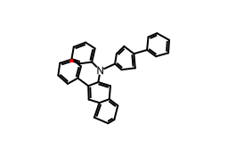 c1ccc(-c2ccc(N(c3ccccc3)c3cc4ccccc4cc3-c3ccccc3)cc2)cc1